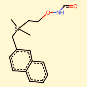 C[Si](C)(CCON[C]=O)Cc1ccc2ccccc2c1